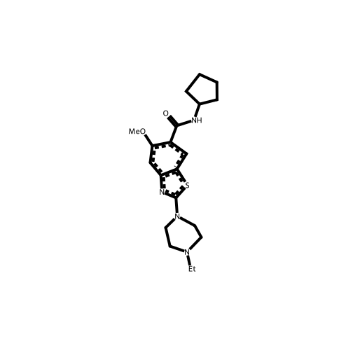 CCN1CCN(c2nc3cc(OC)c(C(=O)NC4CCCC4)cc3s2)CC1